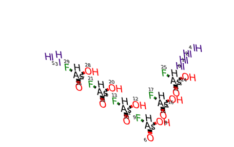 I.I.I.I.I.I.O=[AsH](O)F.O=[AsH](O)F.O=[AsH](O)F.O=[AsH](O)F.O=[AsH](O)F.O=[AsH](O)F